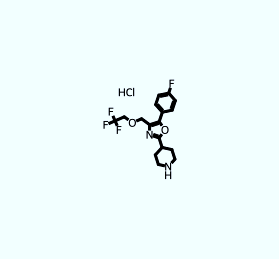 Cl.Fc1ccc(-c2oc(C3CCNCC3)nc2COCC(F)(F)F)cc1